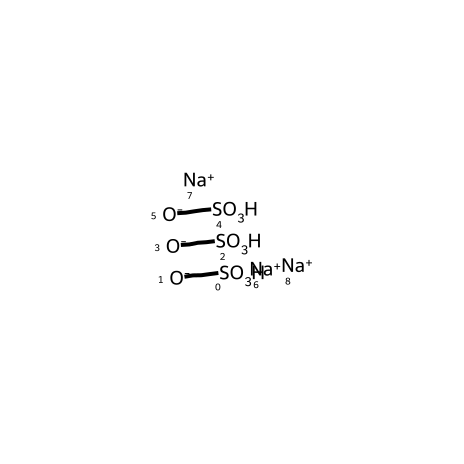 O=S(=O)([O-])O.O=S(=O)([O-])O.O=S(=O)([O-])O.[Na+].[Na+].[Na+]